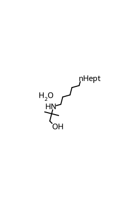 CCCCCCCCCCCCNC(C)(C)CO.O